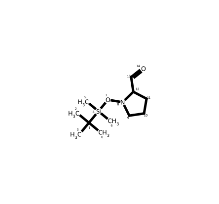 CC(C)(C)[Si](C)(C)ON1CCCC1C=O